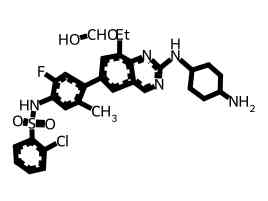 CCc1cc(-c2cc(F)c(NS(=O)(=O)c3ccccc3Cl)cc2C)cc2cnc(NC3CCC(N)CC3)nc12.O=CO